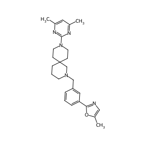 Cc1cc(C)nc(N2CCC3(CCCN(Cc4cccc(-c5ncc(C)o5)c4)C3)CC2)n1